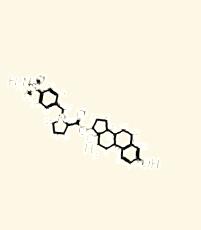 C[C@]12CCC3c4ccc(O)cc4CCC3C1CC[C@@H]2OC(=O)C1CCCN1Cc1ccc(S(N)(=O)=O)cc1